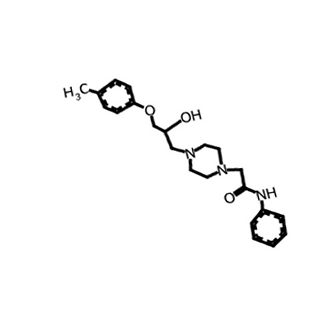 Cc1ccc(OCC(O)CN2CCN(CC(=O)Nc3ccccc3)CC2)cc1